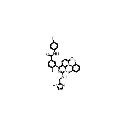 Cc1ccc(C(=O)Nc2ccc(F)cc2)cc1-c1nc(NCc2ncc[nH]2)nc2c1ccc(=O)n2-c1c(F)cccc1F